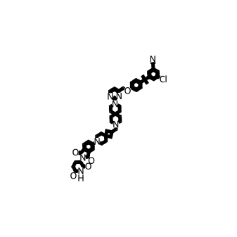 CC(C)(c1ccc(OCc2ccnc(N3CCC4(CCN(CC5CC6(CCN(c7ccc8c(c7)C(=O)N(C7CCC(=O)NC7=O)C8=O)CC6)C5)CC4)CC3)n2)cc1)c1cc(Cl)cc(C#N)c1